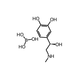 CNC[C@H](O)c1ccc(O)c(O)c1.OB(O)O